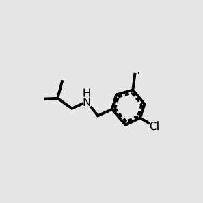 [CH2]c1cc(Cl)cc(CNCC(C)C)c1